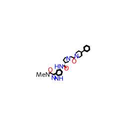 CNC(=O)c1n[nH]c2ccc(NC(=O)[C@@H]3CCN(CC(=O)N4CC=C(c5ccccc5)CC4)C3)cc12